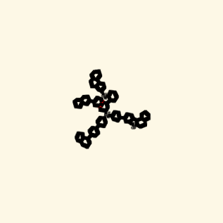 c1cc(-c2ccccc2N(c2cccc(-c3ccc4ccccc4c3)c2)c2ccc3c(ccc4ccccc43)c2)cc(N(c2ccc(-c3ccc(-c4cccc5ccccc45)cc3)cc2)c2ccc(-c3ccc4c(c3)sc3ccc5ccccc5c34)cc2)c1